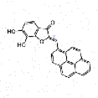 O=C1/C(=C/c2ccc3ccc4cccc5ccc2c3c45)Oc2c1ccc(O)c2O